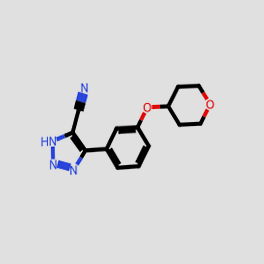 N#Cc1[nH]nnc1-c1cccc(OC2CCOCC2)c1